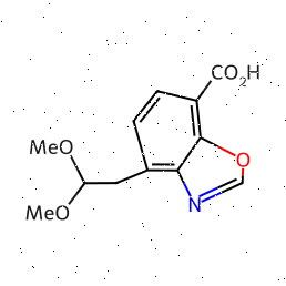 COC(Cc1ccc(C(=O)O)c2ocnc12)OC